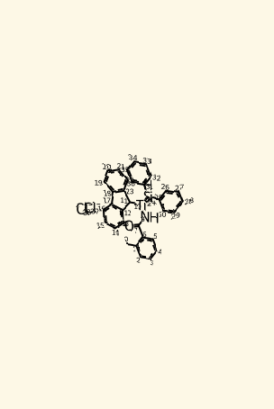 Cc1ccccc1C(=O)[NH][Ti+2]([CH]1c2ccccc2-c2ccccc21)[SiH](c1ccccc1)c1ccccc1.[Cl-].[Cl-]